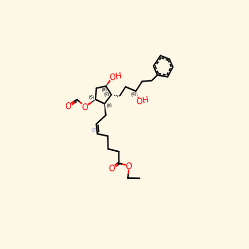 CCOC(=O)CCC/C=C\C[C@@H]1[C@@H](CC[C@@H](O)CCc2ccccc2)[C@H](O)C[C@@H]1OC=O